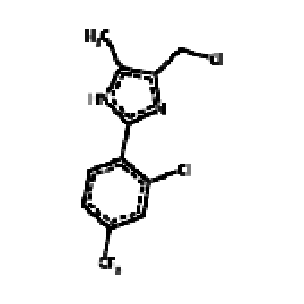 Cc1[nH]c(-c2ccc(C(F)(F)F)cc2Cl)nc1CCl